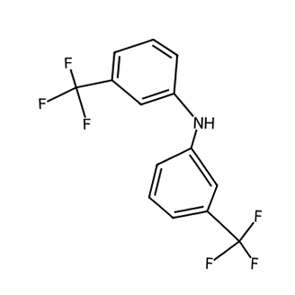 FC(F)(F)c1cccc(Nc2cccc(C(F)(F)F)c2)c1